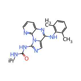 Cc1cccc(C)c1Nc1nc2cccnc2n2c(NC(=O)NC(C)C)ncc12